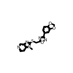 Cn1c(SCc2nc(-c3ccc4c(c3)OCO4)no2)nc2cnccc21